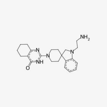 NCCN1CC2(CCN(c3nc4c(c(=O)[nH]3)CCCC4)CC2)c2ccccc21